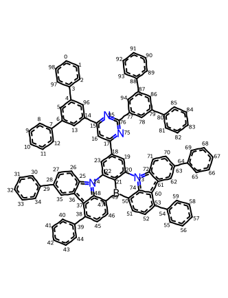 c1ccc(-c2cc(-c3ccccc3)cc(-c3cc(-c4cc5c6c(c4)-n4c7ccc(-c8ccccc8)cc7c7c(-c8ccccc8)ccc(c74)B6c4ccc(-c6ccccc6)c6c7cc(-c8ccccc8)ccc7n-5c46)nc(-c4cc(-c5ccccc5)cc(-c5ccccc5)c4)n3)c2)cc1